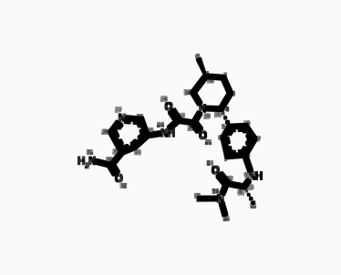 C[C@H]1CC[C@H](c2ccc(N[C@H](C)C(=O)N(C)C)cc2)N(C(=O)C(=O)Nc2cncc(C(N)=O)c2)C1